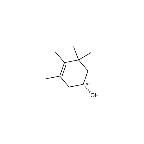 CC1=C(C)C(C)(C)C[C@H](O)C1